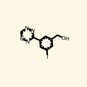 OCc1cc(I)cc(-c2nncnn2)c1